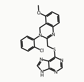 COc1cccc2c1CN(c1ccccc1Cl)C(CSc1ncnc3[nH]cnc13)=N2